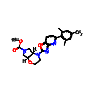 Cc1cc(C(F)(F)F)cc(C)c1-c1ccc2oc(N3CCO[C@H]4CN(C(=O)OC(C)(C)C)C[C@@H]43)nc2n1